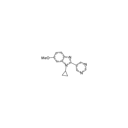 COc1ccc2nc(-c3cncnc3)n(C3CC3)c2c1